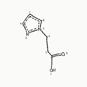 O=C(O)CCn1cccn1